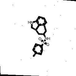 Cc1ccc(S(=O)(=O)NC2Cc3cccc4c3C(CN4)C2)cc1